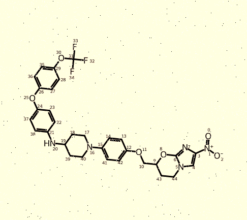 O=[N+]([O-])c1cn2c(n1)OC(COc1ccc(N3CCC(Nc4ccc(Oc5ccc(OC(F)(F)F)cc5)cc4)CC3)cc1)CC2